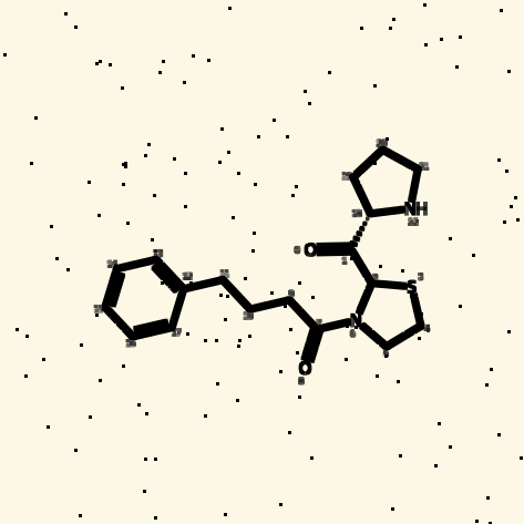 O=C(C1SCCN1C(=O)CCCc1ccccc1)[C@@H]1CCCN1